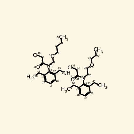 CCCCOCN(C(=O)CCl)c1c(CC)cccc1CC.CCCOCCN(C(=O)CCl)c1c(CC)cccc1CC